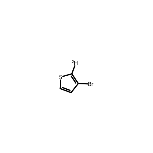 [2H]c1sccc1Br